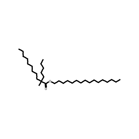 CCCCCCCCCCCCCCCCOC(=O)C(C)(CCCCC)CCCCCCCCC